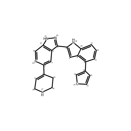 C1=C(c2cc3c(-c4cc5c(-c6ccoc6)cccc5[nH]4)n[nH]c3cn2)CCNC1